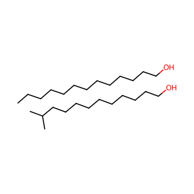 CC(C)CCCCCCCCCCO.CCCCCCCCCCCCCO